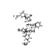 CC[C@H](C)CN(C[C@@H](O)[C@H](Cc1ccccc1)NC(=O)[C@@H]1CN(c2cccc(C(F)(F)F)c2)C(=O)O1)S(=O)(=O)c1ccc(CO)cc1